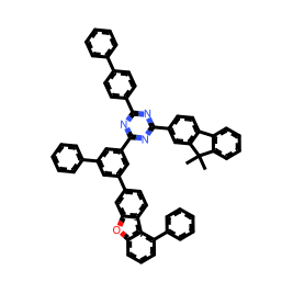 CC1(C)c2ccccc2-c2ccc(-c3nc(-c4ccc(-c5ccccc5)cc4)nc(-c4cc(-c5ccccc5)cc(-c5ccc6c(c5)oc5cccc(-c7ccccc7)c56)c4)n3)cc21